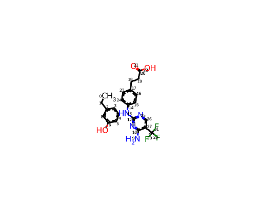 CCc1cccc(O)c1.Nc1nc(Nc2ccc(CCC(=O)O)cc2)ncc1C(F)(F)F